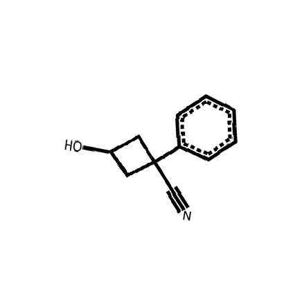 N#CC1(c2ccccc2)CC(O)C1